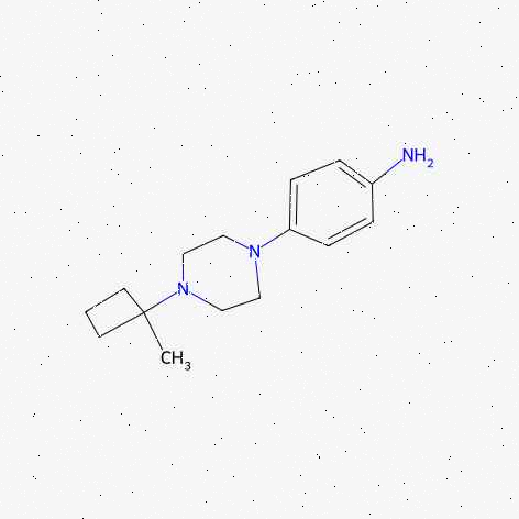 CC1(N2CCN(c3ccc(N)cc3)CC2)CCC1